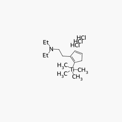 CCN(CC)CCC1=[C]([Ti]([CH3])([CH3])([CH3])[CH3])CC=C1.Cl.Cl.Cl